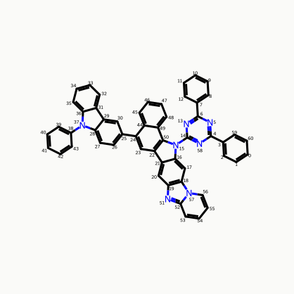 c1ccc(-c2nc(-c3ccccc3)nc(-n3c4cc5c(cc4c4cc(-c6ccc7c(c6)c6ccccc6n7-c6ccccc6)c6ccccc6c43)nc3ccccn35)n2)cc1